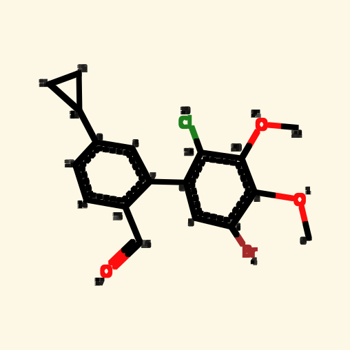 COc1c(Br)cc(-c2cc(C3CC3)ccc2C=O)c(Cl)c1OC